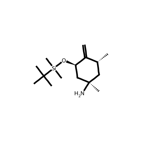 C=C1[C@H](C)C[C@@](C)(N)C[C@H]1O[Si](C)(C)C(C)(C)C